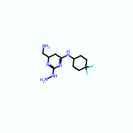 NCC1CC(NC2CCC(F)(F)CC2)=NC(NN)=N1